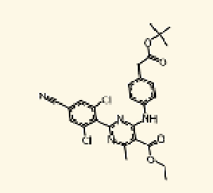 CCOC(=O)c1c(C)nc(-c2c(Cl)cc(C#N)cc2Cl)nc1Nc1ccc(CC(=O)OC(C)(C)C)cc1